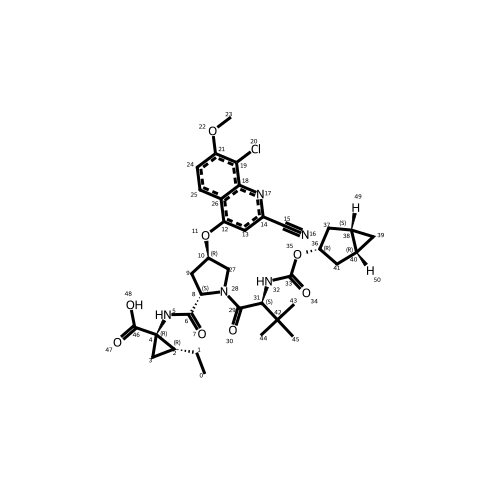 CC[C@@H]1C[C@]1(NC(=O)[C@@H]1C[C@@H](Oc2cc(C#N)nc3c(Cl)c(OC)ccc23)CN1C(=O)[C@@H](NC(=O)O[C@@H]1C[C@@H]2C[C@@H]2C1)C(C)(C)C)C(=O)O